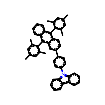 Cc1cc(C)c(-c2c3ccccc3c(-c3c(C)cc(C)cc3C)c3cc(-c4ccc(-n5c6ccccc6c6ccccc65)cc4)ccc23)c(C)c1